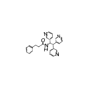 O=C(CCc1ccccc1)NC(c1cccnc1)C(c1cccnc1)c1cccnc1